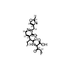 CCC(C(=O)NC(C(=O)O)C(=O)CF)c1ccnn(Cc2coc(C)n2)c1=O